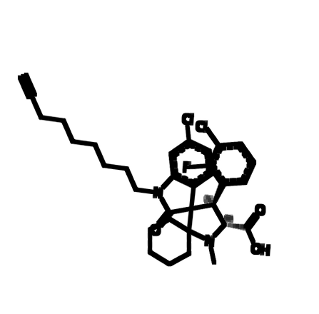 C#CCCCCCCCN1C(=O)C2(c3ccc(Cl)cc31)[C@@H](c1cccc(Cl)c1F)[C@H](C(=O)O)N(C)C21CCCCC1